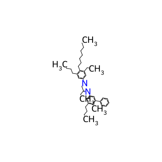 CCCCCCCCc1c(CC)cc(N=CC(CC)=Nc2cc(CCCC)c(C)c(-c3ccccc3)c2)cc1CCCC